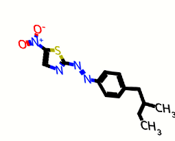 CCC(C)Cc1ccc(N=Nc2ncc([N+](=O)[O-])s2)cc1